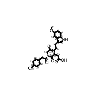 COc1ccc2[nH]cc(CCN3C(=O)CN(C(Cl)Cc4ccc(Cl)cc4)C(=O)C3CC(=O)O)c2c1